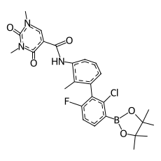 Cc1c(NC(=O)c2cn(C)c(=O)n(C)c2=O)cccc1-c1c(F)ccc(B2OC(C)(C)C(C)(C)O2)c1Cl